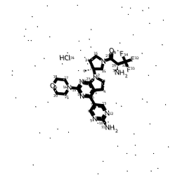 C[C@]1(N2CCc3c(-c4cnc(N)nc4)nc(N4CCOCC4)nc32)CCN(C(=O)[C@@H](N)C(F)(F)F)C1.Cl